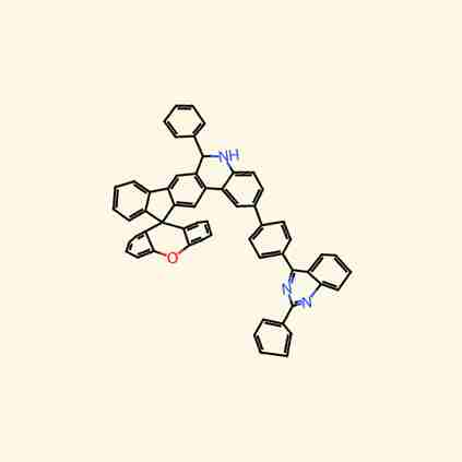 c1ccc(-c2nc(-c3ccc(-c4ccc5c(c4)-c4cc6c(cc4C(c4ccccc4)N5)-c4ccccc4C64c5ccccc5Oc5ccccc54)cc3)c3ccccc3n2)cc1